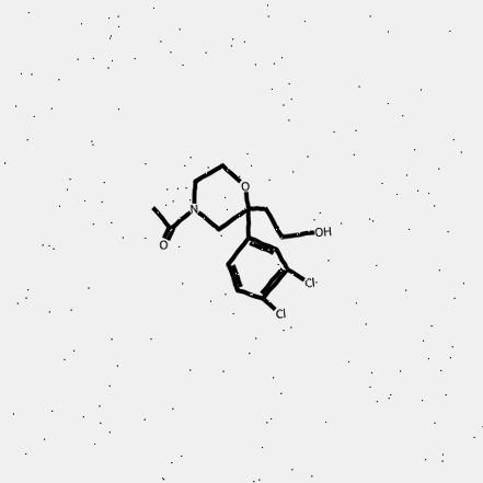 CC(=O)N1CCOC(CCO)(c2ccc(Cl)c(Cl)c2)C1